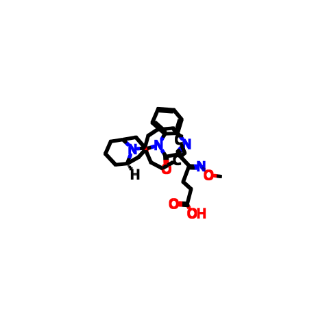 CON=C(CCC(=O)O)c1nc2ccccc2n(C2CC3CCC[C@H](C2)N3C2CCCCCCCC2)c1=O